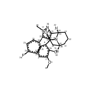 COc1cccc(C(=O)N2[C@@H]3CCC[C@H]2c2nn(C)c(-c4ccc(F)cc4)c2C3)c1Cl